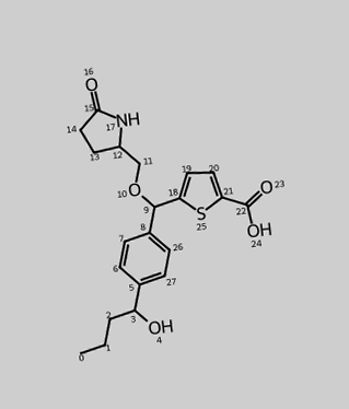 CCCC(O)c1ccc(C(OCC2CCC(=O)N2)c2ccc(C(=O)O)s2)cc1